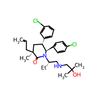 C=CC[C@@]1(C)C[C@H](c2cccc(Cl)c2)[C@@H](c2ccc(Cl)cc2)N([C@@H](CC)CNCC(C)(C)O)C1=O